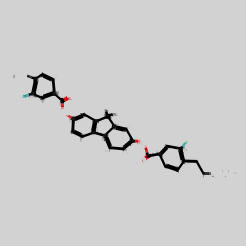 CCCc1ccc(C(=O)Oc2ccc3c(c2)C(C)(C)c2cc(OC(=O)c4ccc(CCOC)c(F)c4)ccc2-3)cc1F